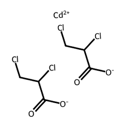 O=C([O-])C(Cl)CCl.O=C([O-])C(Cl)CCl.[Cd+2]